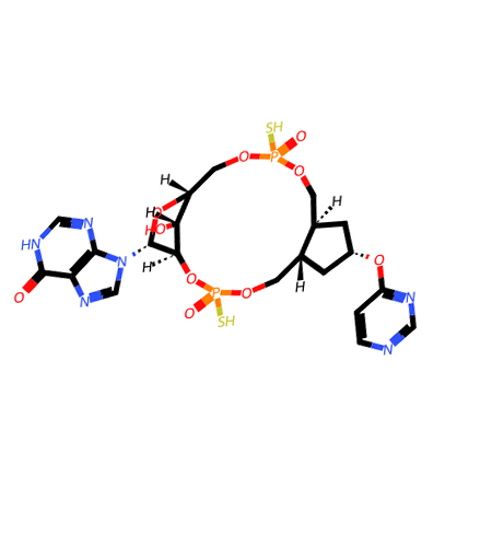 O=c1[nH]cnc2c1ncn2[C@@H]1O[C@@H]2COP(=O)(S)OC[C@H]3C[C@H](Oc4ccncn4)C[C@@H]3COP(=O)(S)O[C@@H]1[C@@H]2O